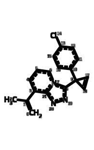 C=C(C)c1cccn2c(C3(c4ccc(Cl)cc4)C=C3)nnc12